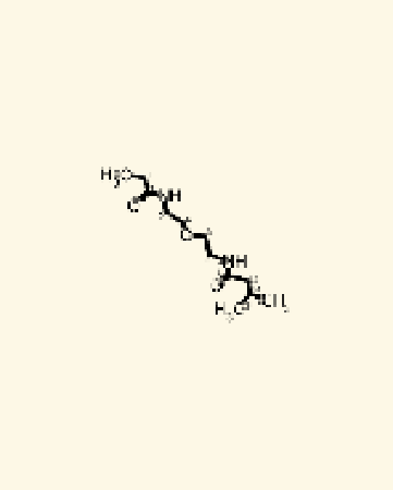 CCC(=O)NCCOCCNC(=O)CC(C)C